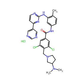 Cc1ccc(NC(=O)c2cc(Cl)c(CN3CCC(N(C)C)C3)c(Cl)c2)cc1Nc1nccc(-c2cncnc2)n1.Cl